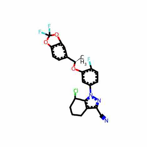 C[C@H](Oc1cc(-n2nc(C#N)c3c2C(Cl)CCC3)ccc1F)c1ccc2c(c1)OC(F)(F)O2